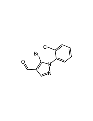 O=Cc1cnn(-c2ccccc2Cl)c1Br